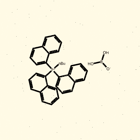 CCCC[P+](c1cccc2ccccc12)(c1cccc2ccccc12)c1cccc2ccccc12.[O-]B(O)O